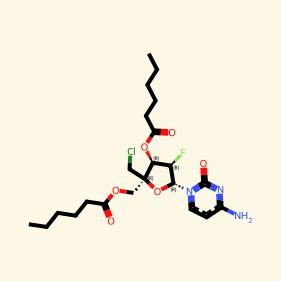 CCCCCC(=O)OC[C@@]1(CCl)O[C@@H](n2ccc(N)nc2=O)[C@H](F)[C@@H]1OC(=O)CCCCC